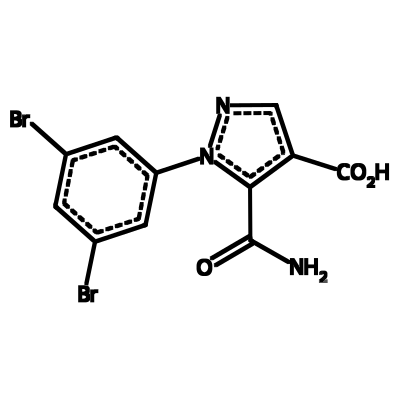 NC(=O)c1c(C(=O)O)cnn1-c1cc(Br)cc(Br)c1